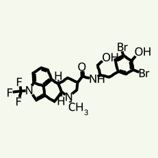 CN1CC(C(=O)NC(CO)Cc2cc(Br)c(O)c(Br)c2)C[C@@H]2c3cccc4c3c(cn4C(F)(F)F)C[C@H]21